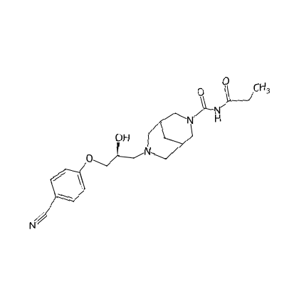 CCC(=O)NC(=O)N1CC2CC(CN(C[C@H](O)COc3ccc(C#N)cc3)C2)C1